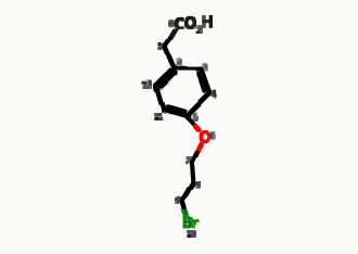 O=C(O)Cc1ccc(OCCCBr)cc1